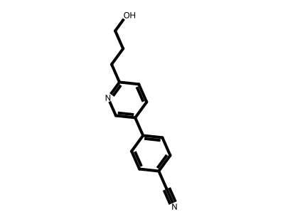 N#Cc1ccc(-c2ccc(CCCO)nc2)cc1